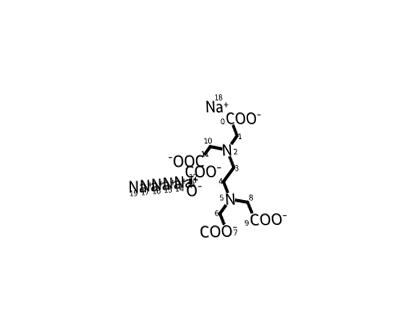 O=C([O-])CN(CCN(CC(=O)[O-])CC(=O)[O-])CC(=O)[O-].O=C([O-])[O-].[Na+].[Na+].[Na+].[Na+].[Na+].[Na+]